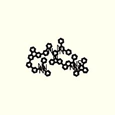 c1ccc(-c2cc(-c3ccccc3)nc(-c3cc(-n4c5ccccc5c5cc(-c6ccc7c8cc(-c9cccc(-c%10cccc(-c%11nc(-c%12ccccc%12)nc(-c%12ccccc%12)n%11)c%10)c9)ccc8c8ccccc8c7c6)ccc54)cc(-n4c5ccccc5c5cc(-c6cccc7c6ccc6c(-c8ccccc8)nc(-n8c9ccccc9c9c%10ccccc%10c%10c%11ccccc%11sc%10c98)nc67)ccc54)c3)n2)cc1